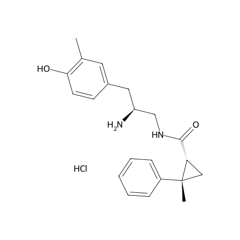 Cc1cc(C[C@H](N)CNC(=O)[C@@H]2C[C@]2(C)c2ccccc2)ccc1O.Cl